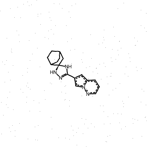 c1cnn2cc(C3=NN[C@@]4(CC5CCC4CC5)N3)cc2c1